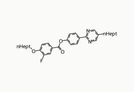 CCCCCCCOc1ccc(C(=O)Oc2ccc(-c3ncc(CCCCCCC)cn3)cc2)cc1F